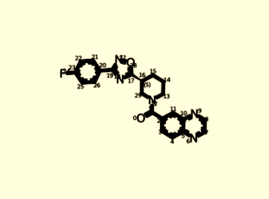 O=C(c1ccc2nccnc2c1)N1CCC[C@H](c2nc(-c3ccc(F)cc3)no2)C1